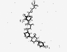 CC(CNc1ccnc(N2CCN(c3ncc(C(F)(F)F)cn3)CC2=O)c1)Nc1cnn(COCC[Si](C)(C)C)c(=O)c1C(F)(F)F